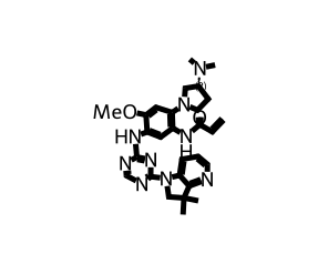 C=CC(=O)Nc1cc(Nc2ncnc(N3CC(C)(C)c4ncccc43)n2)c(OC)cc1N1CC[C@@H](N(C)C)C1